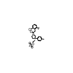 Cc1ccc([C@@]2(CCOS(C)(=O)=O)CCN(C(=O)Cc3c(F)cccc3Cl)C2)cc1